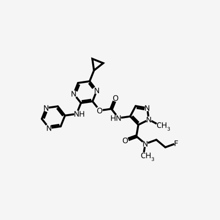 CN(CCF)C(=O)c1c(NC(=O)Oc2nc(C3CC3)cnc2Nc2cncnc2)cnn1C